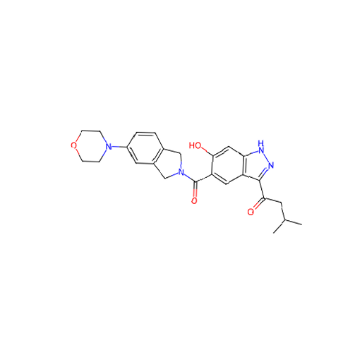 CC(C)CC(=O)c1n[nH]c2cc(O)c(C(=O)N3Cc4ccc(N5CCOCC5)cc4C3)cc12